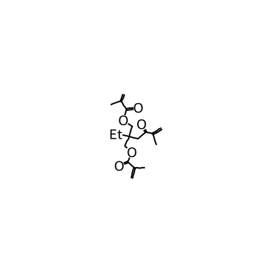 C=C(C)C(=O)CC(CC)(COC(=O)C(=C)C)COC(=O)C(=C)C